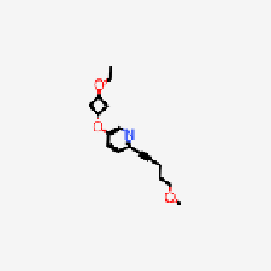 CCO[C@H]1C[C@H](Oc2ccc(C#CCCCOC)nc2)C1